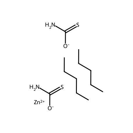 CCCCC.CCCCC.NC([O-])=S.NC([O-])=S.[Zn+2]